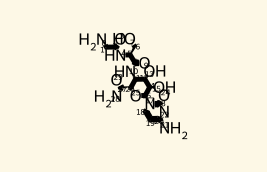 NCC(=O)N[C@@H](CO)C(=O)N[C@H]1[C@H](O)[C@@H](O)[C@H](n2ccc(N)nc2=O)O[C@@H]1C(N)=O